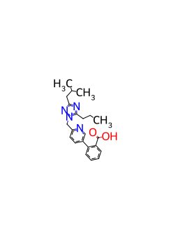 CCCc1nc(CC(C)C)nn1Cc1ccc(-c2ccccc2C(=O)O)cn1